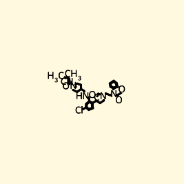 CC(C)(C)CC(=O)N1CCC(CNC(=O)c2cc(Cl)ccc2C2CCN(CCN3C(=O)COc4ccccc43)CC2)CC1